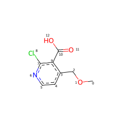 COCc1ccnc(Cl)c1C(=O)O